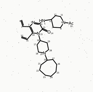 C=Cc1nc(NC2CCN(C(C)=O)CC2)c(=O)n(C2CCN(C3CCCCCCC3)CC2)c1C=C